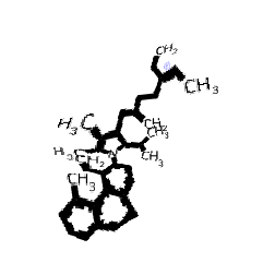 C=C/C(=C/C)CCC(=C)CC1C(C)=C(C)N(c2ccc3ccc4cccc(C)c4c3c2C=C)C1=C(C)C